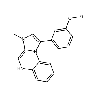 CCOc1cccc(C2=CN(C)C3=CNc4ccccc4N23)c1